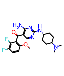 COc1ccc(F)c(F)c1C(=O)c1cnc(N[C@H]2CC[C@H](N(C)C)CC2)nc1N